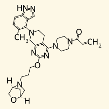 C=CC(=O)N1CCN(c2nc(OCCCN3C[C@@H]4C[C@H]3CO4)nc3c2CCN(c2c(C)ccc4[nH]ncc24)C3)CC1